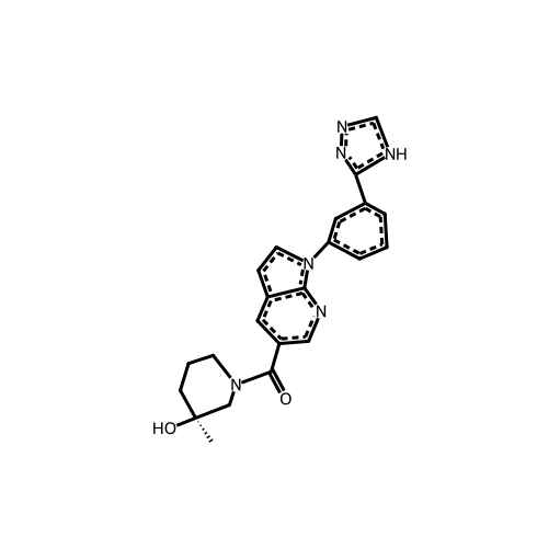 C[C@]1(O)CCCN(C(=O)c2cnc3c(ccn3-c3cccc(-c4nnc[nH]4)c3)c2)C1